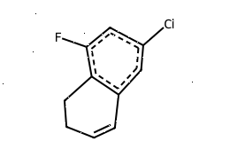 Fc1cc(Cl)cc2c1CCC=C2